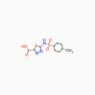 Cc1ccc(S(=O)(=O)Nc2nnc(C(=O)O)s2)cc1